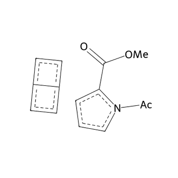 COC(=O)c1cccn1C(C)=O.c1cc2ccc1-2